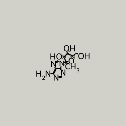 C[C@]1(n2cnc3c(N)ncnc32)O[C@H](CO)[C@@H](O)[C@H]1O